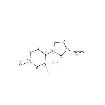 CC(=O)NC1CCN(C2CCN(C(C)C)CC2(F)F)C1